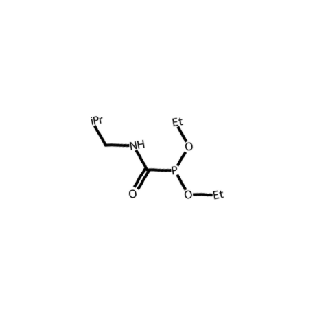 CCOP(OCC)C(=O)NCC(C)C